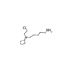 NCCCCCN(CCCl)C1CCC1